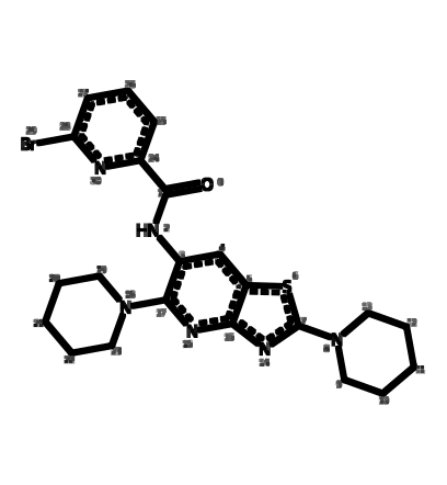 O=C(Nc1cc2sc(N3CCCCC3)nc2nc1N1CCCCC1)c1cccc(Br)n1